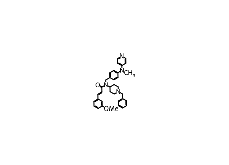 COc1cccc(C=CC(=O)N(Cc2ccc(N(C)c3ccncc3)cc2)C2CCN(Cc3ccccc3)CC2)c1